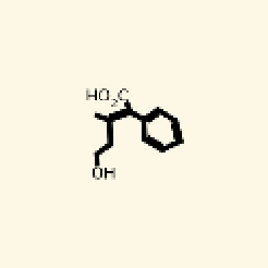 CC(CCO)=C(C(=O)O)c1ccccc1